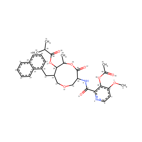 COc1ccnc(C(=O)NC2COCC(Cc3cccc4ccccc34)C(OC(=O)C(C)C)C(C)OC2=O)c1OC(C)=O